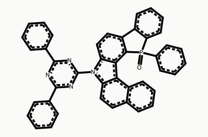 O=P1(c2ccccc2)c2ccccc2-c2ccc3c(c21)c1c2ccccc2ccc1n3-c1nc(-c2ccccc2)nc(-c2ccccc2)n1